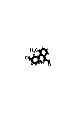 Cc1cccc2c(C=O)nc3ccc(Cl)cc3c12